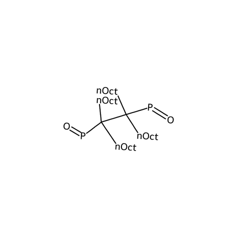 CCCCCCCCC(CCCCCCCC)(P=O)C(CCCCCCCC)(CCCCCCCC)P=O